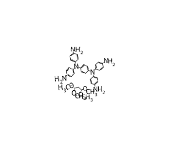 COC(CC(OC)OC)OC.Nc1ccc(N(c2ccc(N)cc2)c2ccc(N(c3ccc(N)cc3)c3ccc(N)cc3)cc2)cc1